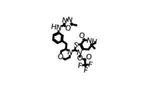 Cc1nnc(Nc2cccc(CC3COCCN3C3SC4=C(CC(C)(C)NC4=O)N3OC(=O)C(F)(F)F)c2)o1